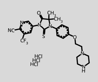 CC1(C)C(=O)N(c2cnc(C#N)c(C(F)(F)F)c2)C(=S)N1c1ccc(OCCN2CCNCC2)cc1.Cl.Cl.Cl